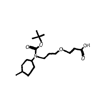 CC1CCC(N(CCCOCCC(=O)O)C(=O)OC(C)(C)C)CC1